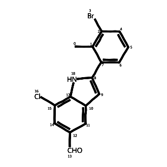 Cc1c(Br)cccc1-c1cc2cc(C=O)cc(Cl)c2[nH]1